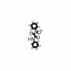 CON(C(=O)C(=O)Nc1ccccc1)c1ccccc1